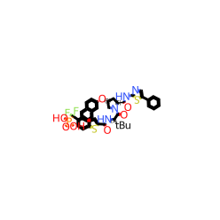 CC(C)(C)[C@H](NC(=O)c1cc2cc(C(F)(F)P(=O)(O)O)ccc2s1)C(=O)N1C[C@H](Oc2ccc3ccccc3c2)C[C@H]1C(=O)Nc1ncc(-c2ccccc2)s1